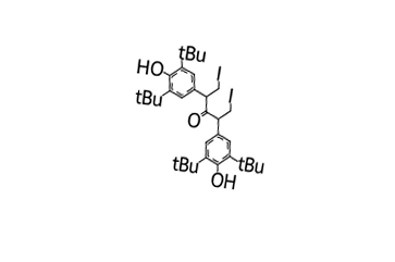 CC(C)(C)c1cc(C(CI)C(=O)C(CI)c2cc(C(C)(C)C)c(O)c(C(C)(C)C)c2)cc(C(C)(C)C)c1O